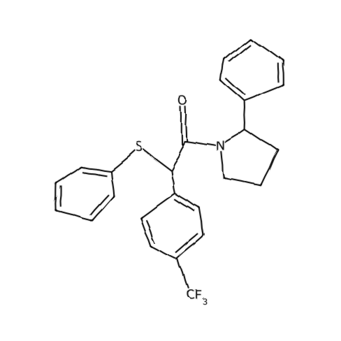 O=C(C(Sc1ccccc1)c1ccc(C(F)(F)F)cc1)N1CCCC1c1ccccc1